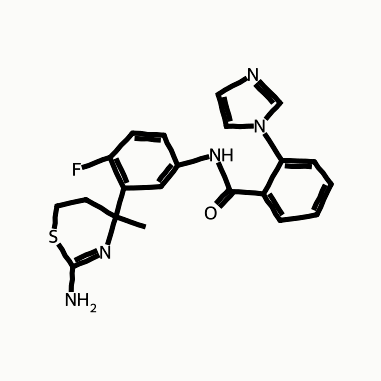 CC1(c2cc(NC(=O)c3ccccc3-n3ccnc3)ccc2F)CCSC(N)=N1